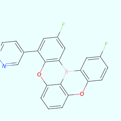 Fc1ccc2c(c1)B1c3cc(F)cc(-c4cccnc4)c3Oc3cccc(c31)O2